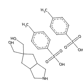 Cc1ccc(S(=O)(=O)O)cc1.Cc1ccc(S(=O)(=O)O)cc1.OCC1(CO)CC2CNCC2C1